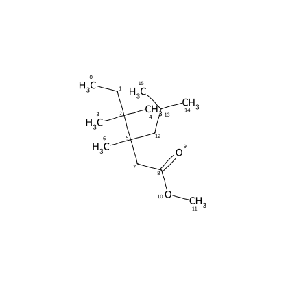 CCC(C)(C)C(C)(CC(=O)OC)CC(C)C